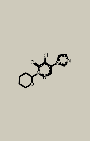 O=c1c(Cl)c(-n2ccnc2)cnn1C1CCCCO1